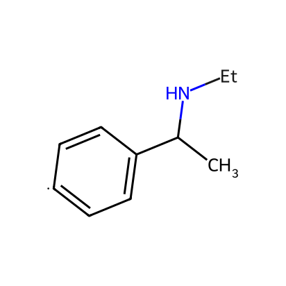 CCNC(C)c1cc[c]cc1